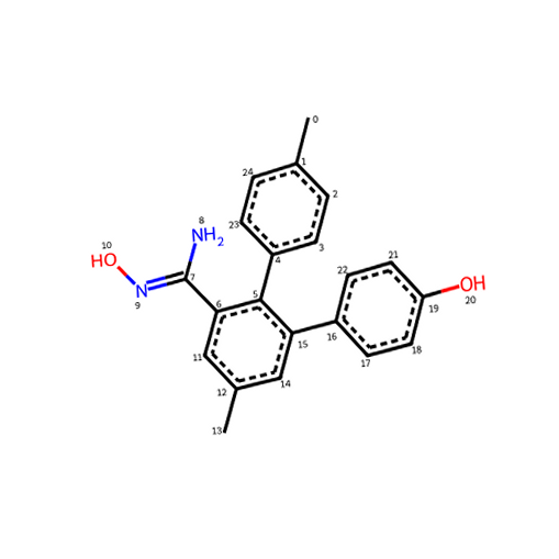 Cc1ccc(-c2c(/C(N)=N/O)cc(C)cc2-c2ccc(O)cc2)cc1